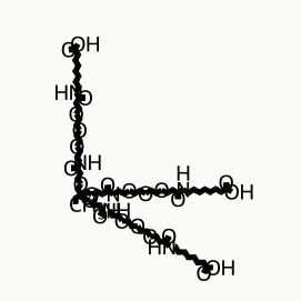 CCC(COCCC(=O)NCCOCCOCCOCCC(=O)NCCCCCCCC(=O)O)(COCCC(=O)NCCOCCOCCOCCC(=O)NCCCCCCCC(=O)O)COCCC(=O)NCCOCCOCCOCCC(=O)NCCCCCCCC(=O)O